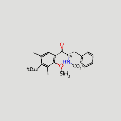 Cc1cc(C(=O)[C@H](Cc2ccccc2)NC(=O)O)c(O[SiH3])c(C)c1C(C)(C)C